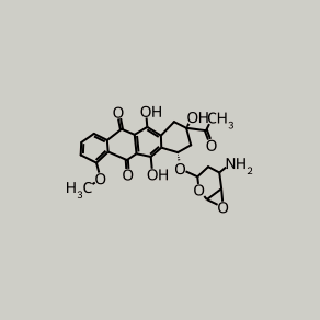 COc1cccc2c1C(=O)c1c(O)c3c(c(O)c1C2=O)C[C@](O)(C(C)=O)C[C@@H]3OC1CC(N)C2OC2O1